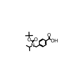 CC(C)N(Cc1ccc(C(=O)O)cc1)C(=O)OC(C)(C)C